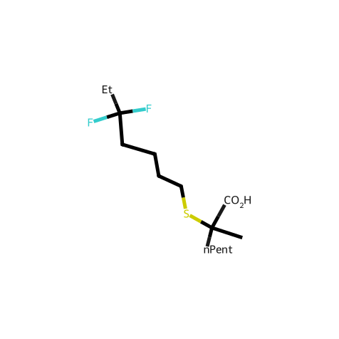 CCCCCC(C)(SCCCCC(F)(F)CC)C(=O)O